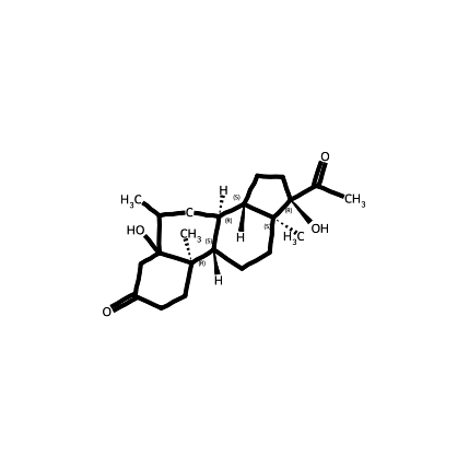 CC(=O)[C@@]1(O)CC[C@H]2[C@@H]3CC(C)C4(O)CC(=O)CC[C@]4(C)[C@H]3CC[C@@]21C